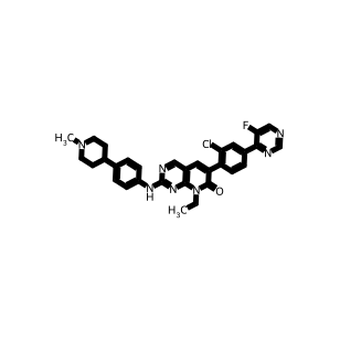 CCn1c(=O)c(-c2ccc(-c3ncncc3F)cc2Cl)cc2cnc(Nc3ccc(C4CCN(C)CC4)cc3)nc21